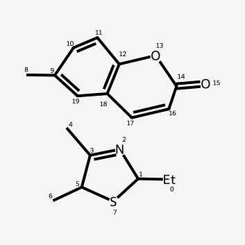 CCC1N=C(C)C(C)S1.Cc1ccc2oc(=O)ccc2c1